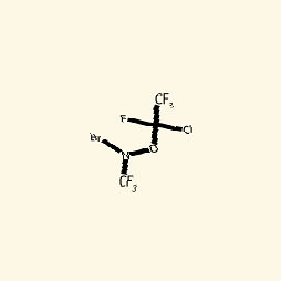 FC(F)(F)N(Br)OC(F)(Cl)C(F)(F)F